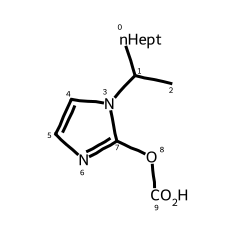 CCCCCCCC(C)n1ccnc1OC(=O)O